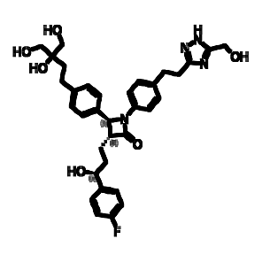 O=C1[C@H](CC[C@H](O)c2ccc(F)cc2)[C@@H](c2ccc(CCC(O)(CO)CO)cc2)N1c1ccc(CCc2n[nH]c(CO)n2)cc1